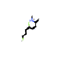 C=C(/C=C\C(F)=C/CCF)NC